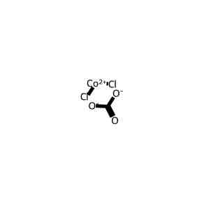 O=C([O-])[O-].[Cl][Co+2][Cl]